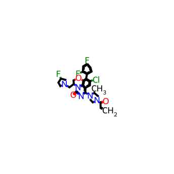 C=CC(=O)N1CCN(c2nc(=O)n3c4c(c(-c5ccc(F)cc5F)c(Cl)cc24)OCC3CN2CCC(F)C2)[C@@H](C)C1